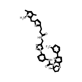 Cc1cc(C)n(N)c1CC1C=CC(CCC(=O)NCc2cn(-c3cccc(NC(=O)N4c5nc(-c6cccc(C(F)(F)F)c6)ccc5N5CC[C@H]4C5)c3)nn2)=N1